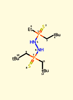 CCP(=S)(CC(C)(C)C)NNP(=S)(CC(C)(C)C)CC(C)(C)C